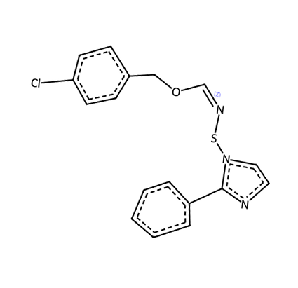 Clc1ccc(CO/C=N\Sn2ccnc2-c2ccccc2)cc1